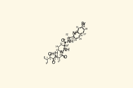 CC(NC(=O)C(O)C(C)C)C(=O)N1CCCC(C)(C(=O)N[C@H](C)c2ccc3ccc(Br)cc3n2)N1